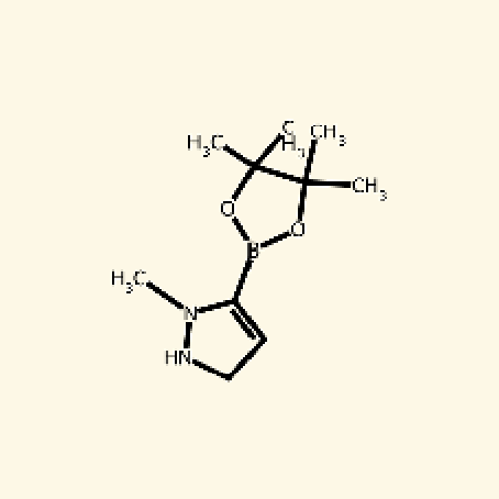 CN1NCC=C1B1OC(C)(C)C(C)(C)O1